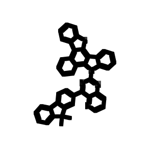 CC1(C)c2ccccc2-c2ccc(-c3nc(-n4c5ccccc5c5c6sc7ccccc7c6c6ccccc6c54)nc4cccnc34)cc21